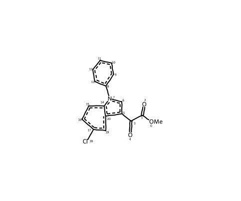 COC(=O)C(=O)c1cn(-c2ccccc2)c2ccc(Cl)cc12